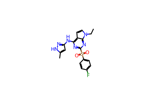 CCn1ccc2c(Nc3cc(C)[nH]n3)nc(S(=O)(=O)c3ccc(F)cc3)nc21